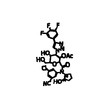 CC(=O)OC1C(C(=O)N(c2cc(Cl)cc(C#N)c2)[C@H]2CCC[C@@H]2O)OC(CO)C(O)C1n1cc(-c2cc(F)c(F)c(F)c2)nn1